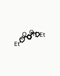 CCC1CCN(C(=O)c2cccc(C(=O)N3CCC(CC)CC3)c2)CC1